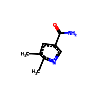 Cc1cc(C(N)=O)cnc1C